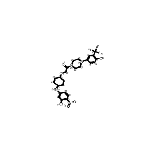 Cc1cc(NC2CCC(OCC(=O)N3CCN(c4ccc(Cl)c(C(F)(F)F)c4)CC3)CC2)ccc1[N+](=O)[O-]